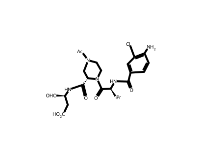 CC(=O)N1CCN(C(=O)[C@@H](NC(=O)c2ccc(N)c(Cl)c2)C(C)C)[C@H](C(=O)N[C@H](C=O)CC(=O)O)C1